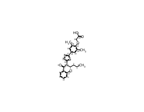 CCCCN(C(=O)c1ccccc1Cl)c1nnc(-c2cc(C)c(OCC(=O)O)c(C)c2)s1